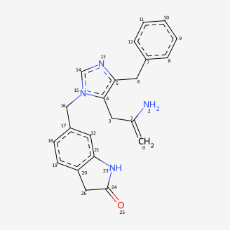 C=C(N)Cc1c(Cc2ccccc2)ncn1Cc1ccc2c(c1)NC(=O)C2